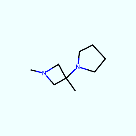 CN1CC(C)(N2CCCC2)C1